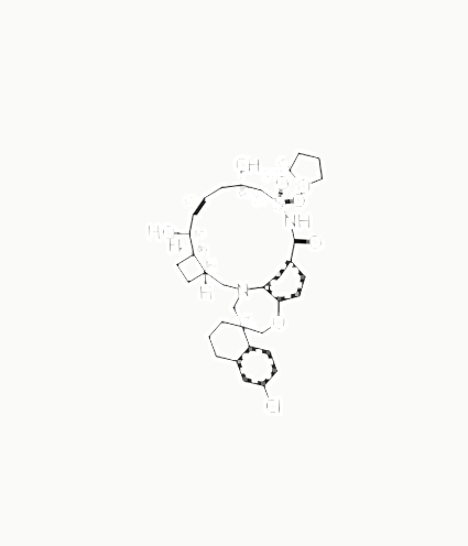 C[C@H]1C/C=C\[C@H](O)[C@@H]2CC[C@H]2CN2C[C@@]3(CCCc4cc(Cl)ccc43)COc3ccc(cc32)C(=O)NS(=O)(=O)[C@H]1C[C@@H]1CCCO1